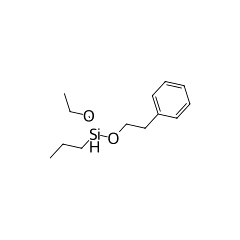 CCC[SiH](OCC)OCCc1ccccc1